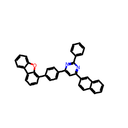 c1ccc(-c2nc(-c3ccc(-c4cccc5c4oc4ccccc45)cc3)cc(-c3ccc4ccccc4c3)n2)cc1